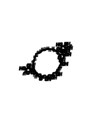 CC1/C=C/C=C/CC/C=C/C=C/C=C/C=C/C(O[C@@H]2O[C@H](C)[C@@H](O)[C@H](N)[C@H]2O)CC2OC(O)(CC(O)CCCC(O)CC(O)CC(O)CC(=O)OC(C)C(C)C1OC1C[C@@H](O)[C@@H](O)[C@H](C)O1)CC(O)C2C(=O)O